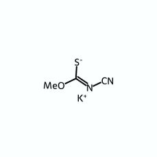 COC([S-])=NC#N.[K+]